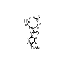 COc1ccc(CC(=O)N2CCNCCN(C)CC2)cc1